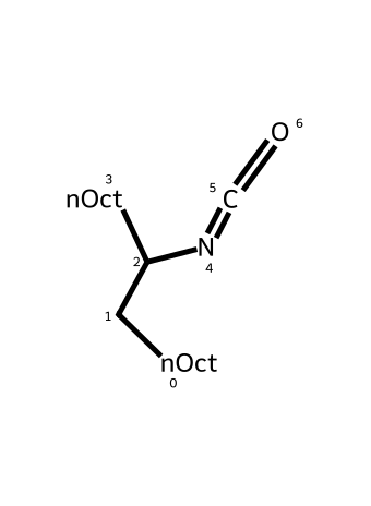 CCCCCCCCCC(CCCCCCCC)N=C=O